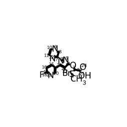 CSC(Oc1nn(-c2cnccn2)c(-c2ccc(F)nc2)c1Br)C(=O)O